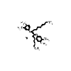 CCCCCCCCC(=N\c1ccc(C)c(C)c1)/C(CCCCCC)=N/c1ccc(C)c(C)c1.[Ni]